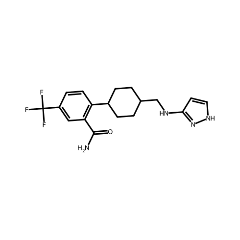 NC(=O)c1cc(C(F)(F)F)ccc1C1CCC(CNc2cc[nH]n2)CC1